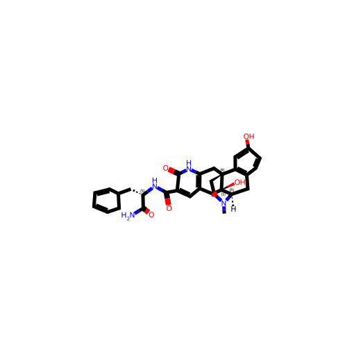 CN1CC[C@]23Cc4[nH]c(=O)c(C(=O)N[C@@H](CC5C=CC=CC5)C(N)=O)cc4C[C@@]2(O)[C@H]1Cc1ccc(O)cc13